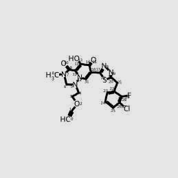 C#COCCN1CN(C)C(=O)c2c(O)c(=O)c(-c3nnc(Cc4cccc(Cl)c4F)s3)cn21